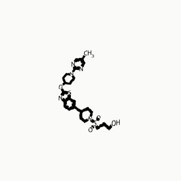 Cc1cnc(N2CCC(Oc3nc4ccc(C5CCN(S(=O)(=O)CCCO)CC5)cc4s3)CC2)nc1